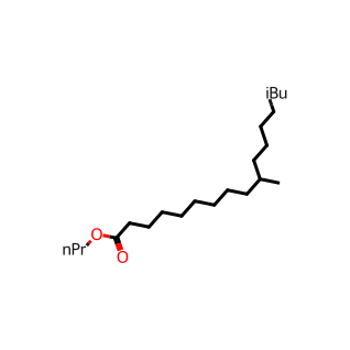 CCCOC(=O)CCCCCCCCC(C)CCCCC(C)CC